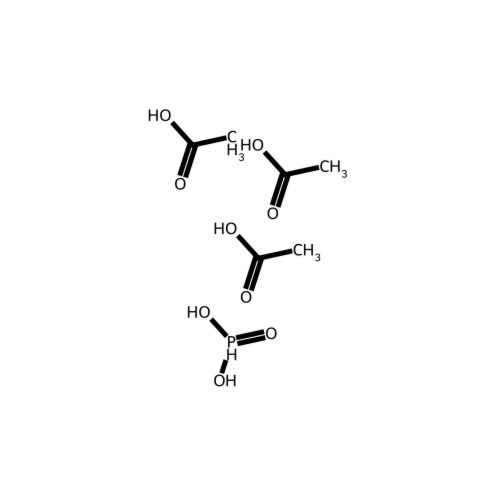 CC(=O)O.CC(=O)O.CC(=O)O.O=[PH](O)O